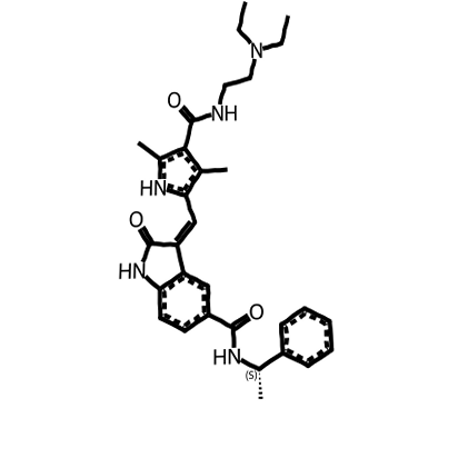 CCN(CC)CCNC(=O)c1c(C)[nH]c(C=C2C(=O)Nc3ccc(C(=O)N[C@@H](C)c4ccccc4)cc32)c1C